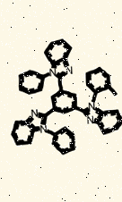 Cc1ccccc1-n1c(-c2cc(-c3nc4ccccc4n3-c3ccccc3)cc(-c3nc4ccccc4n3-c3ccccc3)c2)nc2ccccc21